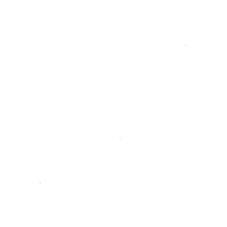 CCCc1ccc(-c2ccc(CC(=O)c3ccc(-c4ccc(CCC)cc4)c(F)c3C)cc2)cc1